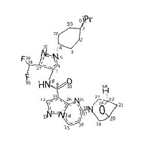 CC(C)[C@H]1CC[C@H](n2cc(NC(=O)c3cnn4ccc(N5CC6C[C@H](C5)O6)nc34)c(C(F)F)n2)CC1